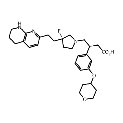 O=C(O)C[C@H](CN1CC[C@@](F)(CCc2ccc3c(n2)NCCC3)C1)c1cccc(OC2CCOCC2)c1